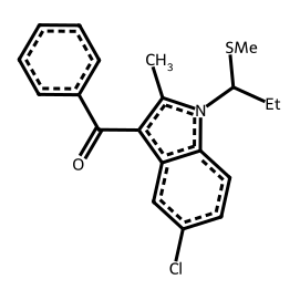 CCC(SC)n1c(C)c(C(=O)c2ccccc2)c2cc(Cl)ccc21